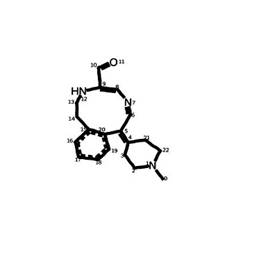 CN1CCC(=C2C=NC=C(C=O)NCCc3ccccc32)CC1